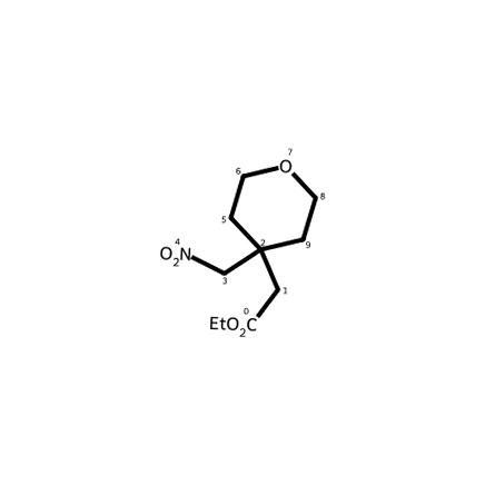 CCOC(=O)CC1(C[N+](=O)[O-])CCOCC1